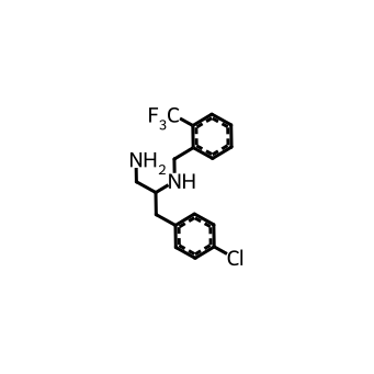 NCC(Cc1ccc(Cl)cc1)NCc1ccccc1C(F)(F)F